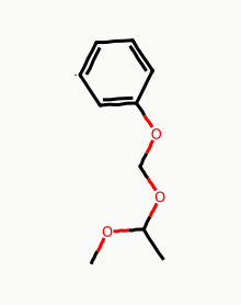 COC(C)OCOc1c[c]ccc1